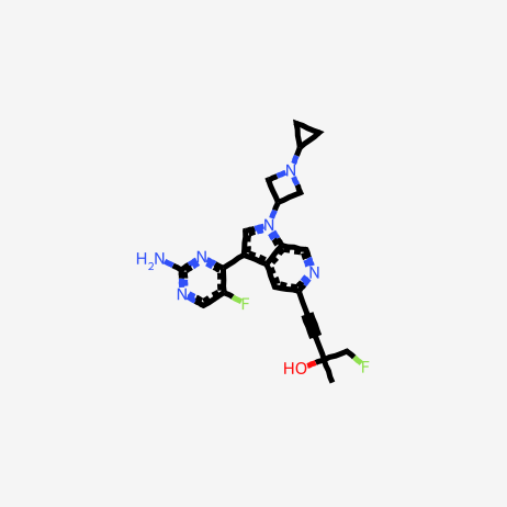 CC(O)(C#Cc1cc2c(-c3nc(N)ncc3F)cn(C3CN(C4CC4)C3)c2cn1)CF